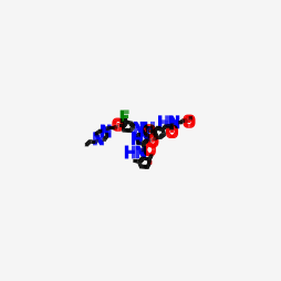 CCCN1CCN(CCOc2ccc(Nc3ncc(C(=O)Nc4c(C)cccc4C)c(Oc4ccc(CC(=O)NCCOC)cc4OC)n3)cc2F)CC1